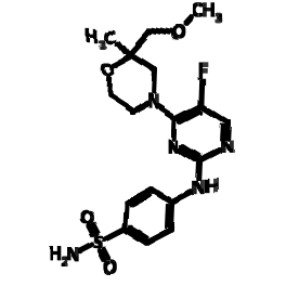 COCC1(C)CN(c2nc(Nc3ccc(S(N)(=O)=O)cc3)ncc2F)CCO1